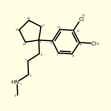 CNCCCC1(c2ccc(Cl)c(Cl)c2)CCCC1